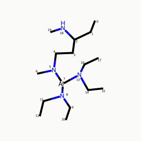 CCC(CC[N](C)[Al]([N](CC)CC)[N](CC)CC)NC